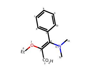 CCOC(C(=O)O)=C(c1ccccc1)N(C)C